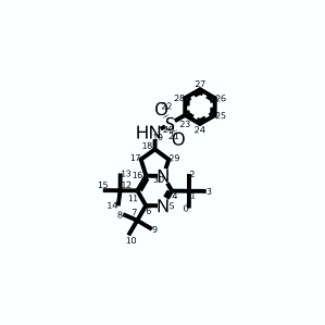 CC(C)(C)C1=NC(C(C)(C)C)C(C(C)(C)C)=C2CC(NS(=O)(=O)c3ccccc3)CN12